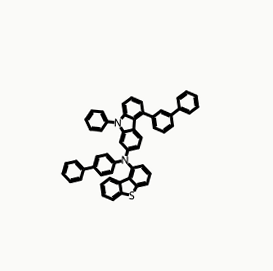 c1ccc(-c2ccc(N(c3ccc4c5c(-c6cccc(-c7ccccc7)c6)cccc5n(-c5ccccc5)c4c3)c3cccc4sc5ccccc5c34)cc2)cc1